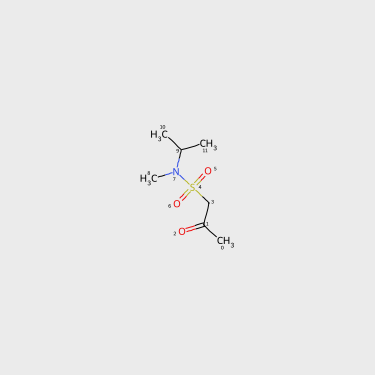 CC(=O)CS(=O)(=O)N(C)C(C)C